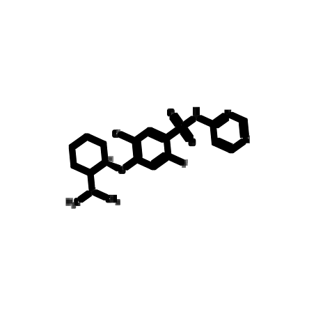 CN(C)C1CCCC[C@H]1Oc1cc(F)c(S(=O)(=O)Nc2ccncn2)cc1Cl